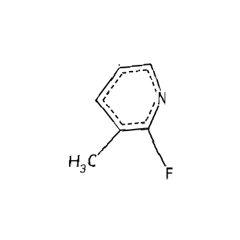 Cc1c[c]cnc1F